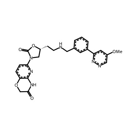 COc1cnnc(-c2cccc(CNCC[C@@H]3CN(c4ccc5c(n4)NC(=O)CO5)C(=O)O3)c2)c1